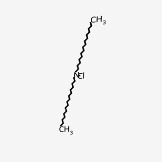 CCCCCCCCCCCCCCCCCCN(Cl)CCCCCCCCCCCCCCCCCC